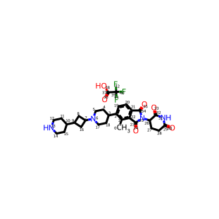 Cc1c(C2CCN(C3CC(C4CCNCC4)C3)CC2)ccc2c1C(=O)N(C1CCC(=O)NC1=O)C2=O.O=C(O)C(F)(F)F